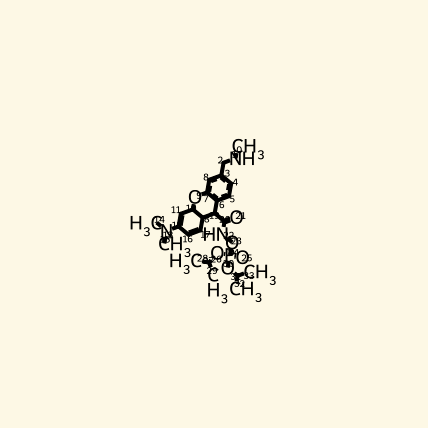 CNCc1ccc2c(c1)OC1C=C(N(C)C)C=CC1C2C(=O)NOP(=O)(OC(C)C)OC(C)C